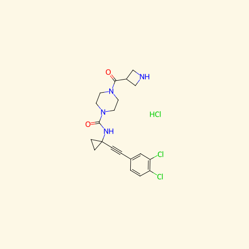 Cl.O=C(NC1(C#Cc2ccc(Cl)c(Cl)c2)CC1)N1CCN(C(=O)C2CNC2)CC1